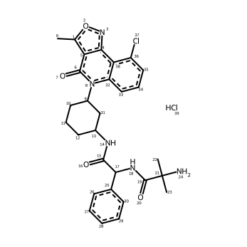 Cc1onc2c1c(=O)n(C1CCCC(NC(=O)C(NC(=O)C(C)(C)N)c3ccccc3)C1)c1cccc(Cl)c21.Cl